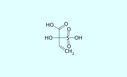 C=CC(O)(C(=O)O)S(=O)(=O)O